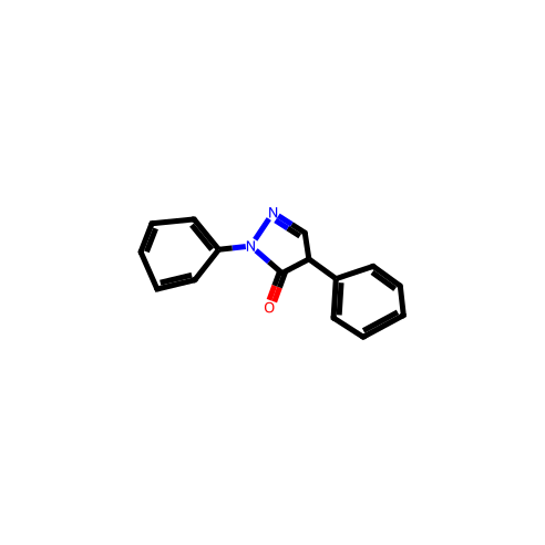 O=C1C(c2ccccc2)C=NN1c1ccccc1